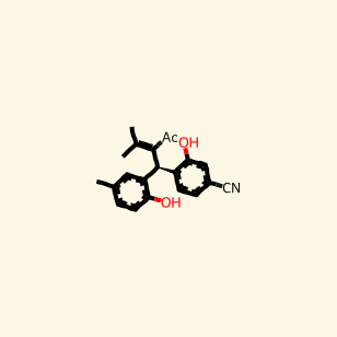 CC(=O)C(=C(C)C)[C@@H](c1ccc(C#N)cc1O)c1cc(C)ccc1O